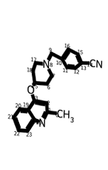 Cc1cc(OC2CCN(Cc3ccc(C#N)cc3)CC2)c2ccccc2n1